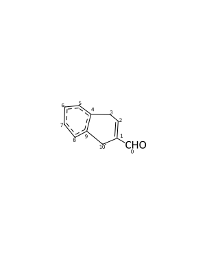 O=CC1=CCc2ccccc2[CH]1